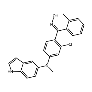 Cc1ccccc1C(=NO)c1ccc(N(C)c2ccc3[nH]ccc3c2)cc1Cl